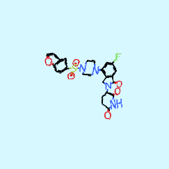 O=C1CCC(N2Cc3c(cc(F)cc3N3CCN(S(=O)(=O)c4ccc5occc5c4)CC3)C2=O)C(=O)N1